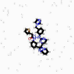 O=C(Cc1cccs1)Nc1cccc(-c2nc3ccccn3c2-c2ccnc(Nc3cccc(Cn4ccnc4)c3)n2)c1